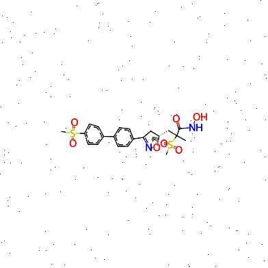 CC(C[C@H]1CC(c2ccc(-c3ccc(S(C)(=O)=O)cc3)cc2)=NO1)(C(=O)NO)S(C)(=O)=O